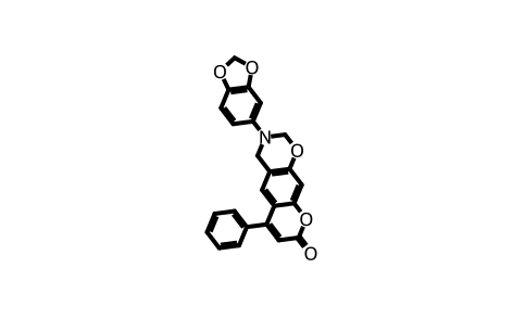 O=c1cc(-c2ccccc2)c2cc3c(cc2o1)OCN(c1ccc2c(c1)OCO2)C3